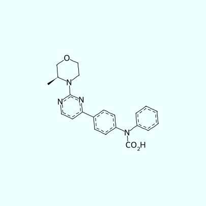 C[C@H]1COCCN1c1nccc(-c2ccc(N(C(=O)O)c3ccccc3)cc2)n1